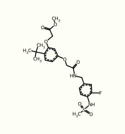 COC(=O)COc1cc(OCC(=O)NCc2ccc(NS(C)(=O)=O)c(F)c2)ccc1C(C)(C)C